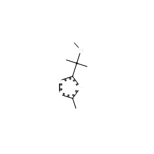 Cc1nc(C(C)(C)NC(=O)O)no1